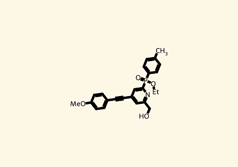 CCOP(=O)(c1ccc(C)cc1)c1cc(C#Cc2ccc(OC)cc2)cc(CO)n1